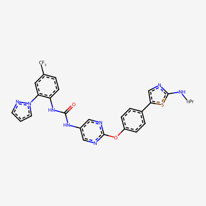 CCCNc1ncc(-c2ccc(Oc3ncc(NC(=O)Nc4ccc(C(F)(F)F)cc4-n4cccn4)cn3)cc2)s1